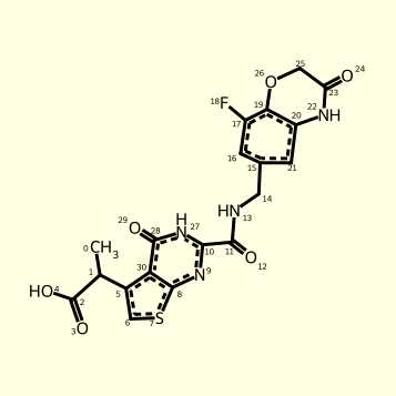 CC(C(=O)O)c1csc2nc(C(=O)NCc3cc(F)c4c(c3)NC(=O)CO4)[nH]c(=O)c12